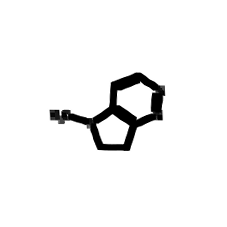 CN1CCc2nnccc21